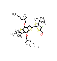 CCCCC(CC)COc1c2cc(C(C)(C)C)sc2c(OCC(CC)CCCC)c2cc(-c3sc(C(C)(C)C)c4c(F)c(C=O)sc34)sc12